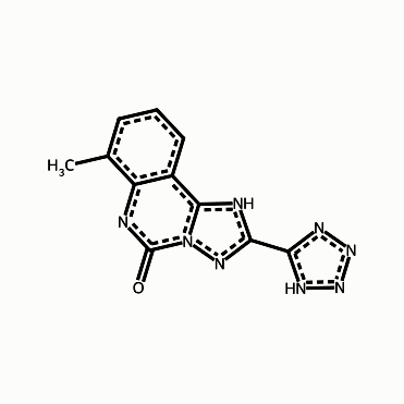 Cc1cccc2c1nc(=O)n1nc(-c3nnn[nH]3)[nH]c21